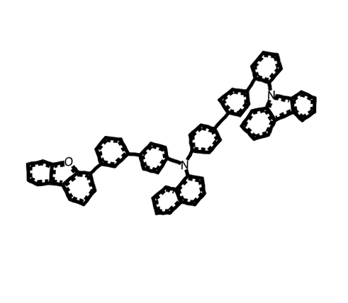 c1cc(-c2ccc(N(c3ccc(-c4ccc(-c5ccccc5-n5c6ccccc6c6ccccc65)cc4)cc3)c3cccc4ccccc34)cc2)cc(-c2cccc3c2oc2ccccc23)c1